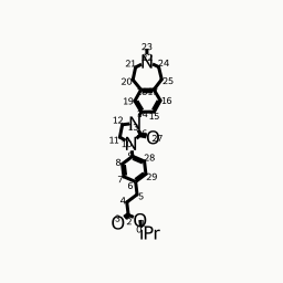 CC(C)OC(=O)CCc1ccc(N2CCN(c3ccc4c(c3)CCN(C)CC4)C2=O)cc1